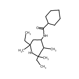 CCC1(C)CC(NC(=O)C2CCCCC2)C(C)C(C)(CC)N1